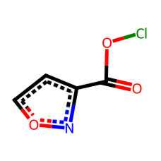 O=C(OCl)c1ccon1